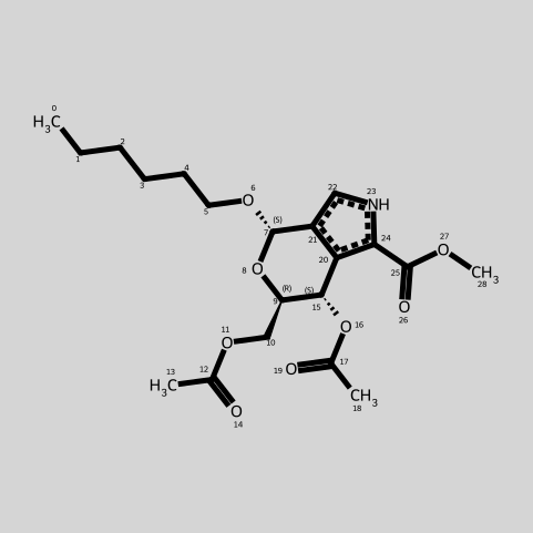 CCCCCCO[C@H]1O[C@H](COC(C)=O)[C@@H](OC(C)=O)c2c1c[nH]c2C(=O)OC